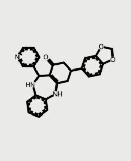 O=C1CC(c2ccc3c(c2)OCO3)CC2=C1C(c1cccnc1)Nc1ccccc1N2